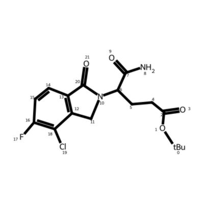 CC(C)(C)OC(=O)CCC(C(N)=O)N1Cc2c(ccc(F)c2Cl)C1=O